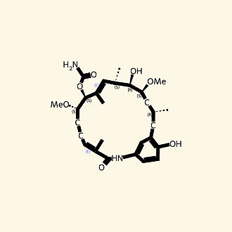 CO[C@H]1C[C@H](C)Cc2cc(ccc2O)NC(=O)/C(C)=C/CC[C@H](OC)[C@@H](OC(N)=O)/C(C)=C/[C@H](C)[C@H]1O